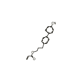 C=CC(=O)OCCCc1ccc(-c2ccc(C#N)cc2)cc1